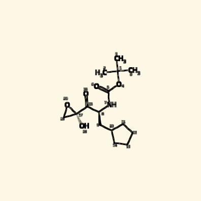 CC(C)(C)OC(=O)N[C@@H](CC1CCCC1)C(=O)[C@@]1(O)CO1